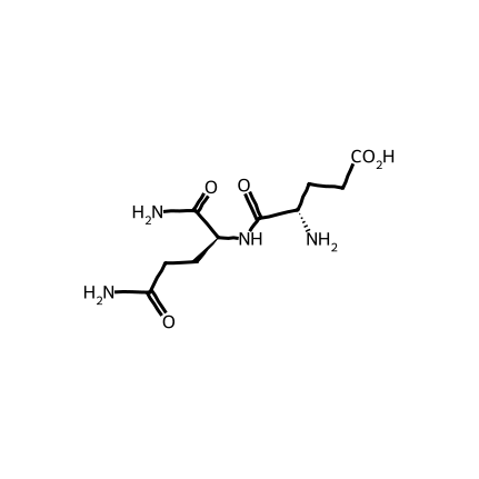 NC(=O)CC[C@H](NC(=O)[C@@H](N)CCC(=O)O)C(N)=O